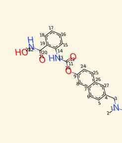 CN(C)Cc1ccc2cc(OC(=O)Nc3ccccc3C(=O)NO)ccc2c1